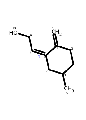 C=C1CCC(C)C/C1=C/CO